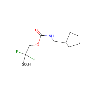 O=C(NCC1CCCC1)OCC(F)(F)S(=O)(=O)O